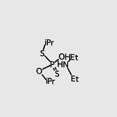 CC(C)OP(O)(=S)SC(C)C.CCNCC